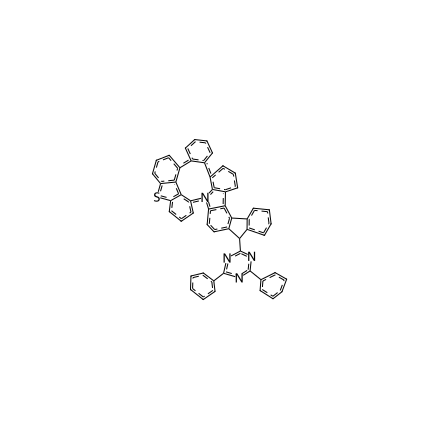 c1ccc(-c2nc(-c3ccccc3)nc(C3c4ccccc4-c4c3ccc3c4c4cccc5c6ccccc6c6cccc7sc8cccc(c8c76)n3c54)n2)cc1